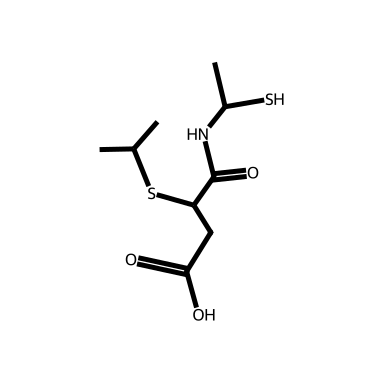 CC(S)NC(=O)C(CC(=O)O)SC(C)C